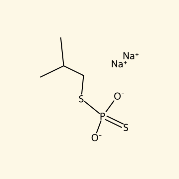 CC(C)CSP([O-])([O-])=S.[Na+].[Na+]